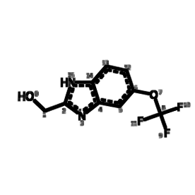 OCc1nc2cc(OC(F)(F)F)ccc2[nH]1